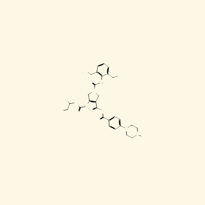 CCc1cccc(CC)c1NC(=O)N1Cc2c(NC(=O)c3ccc(N4CCN(C)CC4)cc3)nn(C(=O)OC(C)CC)c2C1